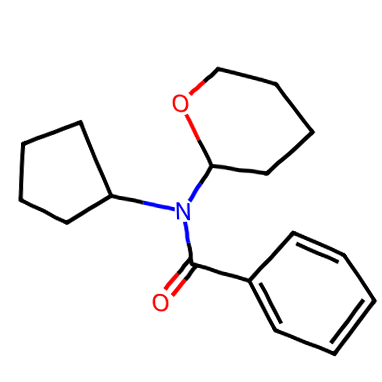 O=C(c1ccccc1)N(C1CCCC1)C1CCCCO1